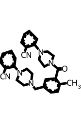 Cc1ccc(CN2CCN(c3ccccc3C#N)CC2)cc1C(=O)N1CCN(c2ccccc2C#N)CC1